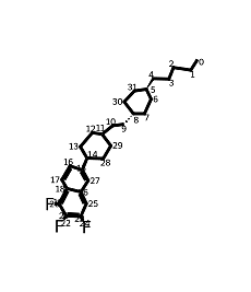 CCCCC[C@H]1CC[C@H](CCC2CCC(c3ccc4c(F)c(F)c(F)cc4c3)CC2)CC1